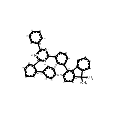 CC1(C)c2ccccc2-c2c(-c3cccc(-c4nc(-c5ccccc5)nc(-c5ccccc5-c5ccccc5)n4)c3)cccc21